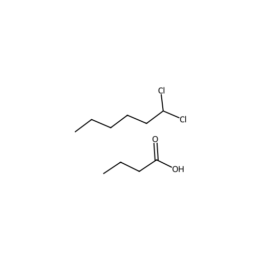 CCCC(=O)O.CCCCCC(Cl)Cl